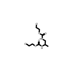 CC(CNC(=O)OCCCl)NC(=O)OCCCl